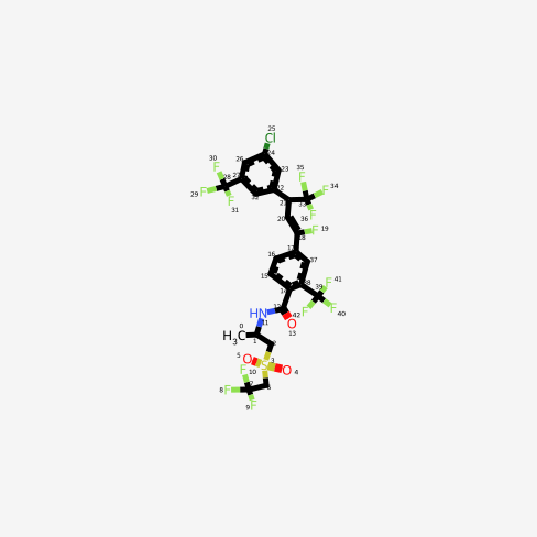 CC(CS(=O)(=O)CC(F)(F)F)NC(=O)c1ccc(/C(F)=C/C(c2cc(Cl)cc(C(F)(F)F)c2)C(F)(F)F)cc1C(F)(F)F